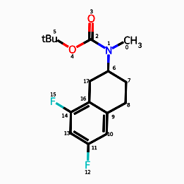 CN(C(=O)OC(C)(C)C)C1CCc2cc(F)cc(F)c2C1